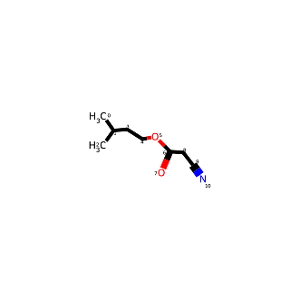 CC(C)CCOC(=O)CC#N